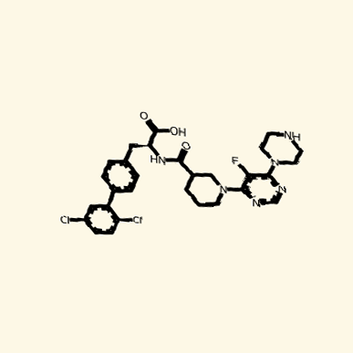 O=C(N[C@@H](Cc1ccc(-c2cc(Cl)ccc2Cl)cc1)C(=O)O)C1CCCN(c2ncnc(N3CCNCC3)c2F)C1